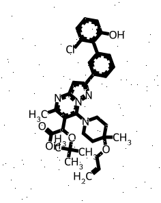 C=CCOC1(C)CCN(c2c(C(OC(C)(C)C)C(=O)O)c(C)nc3cc(-c4cccc(-c5c(O)cccc5Cl)c4)nn23)CC1